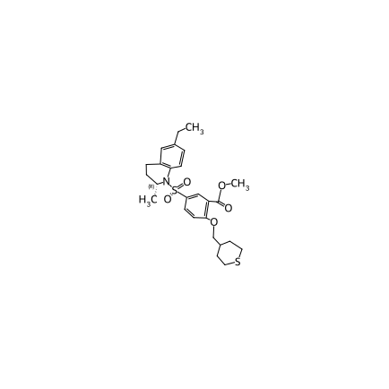 CCc1ccc2c(c1)CC[C@@H](C)N2S(=O)(=O)c1ccc(OCC2CCSCC2)c(C(=O)OC)c1